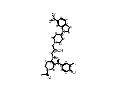 CC(=O)N1CCc2c(c(-c3ccc(Cl)c(C)c3)nn2CC(O)CN2CCC(N3CCc4ccc([N+](=O)[O-])cc43)CC2)C1